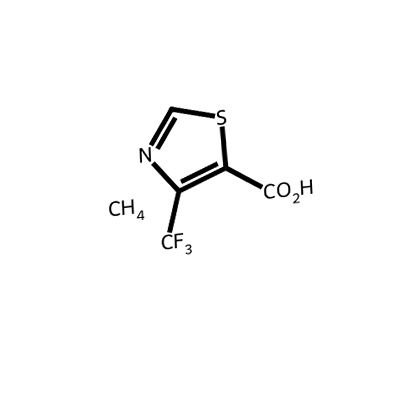 C.O=C(O)c1scnc1C(F)(F)F